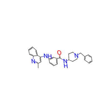 Cc1cc(Nc2cccc(C(=O)NC3CCN(Cc4ccccc4)CC3)c2)c2ccccc2n1